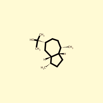 C[C@H]1CC[C@@H](C(C)(C)O)C[C@@H]2[C@H]1CC[C@@H]2C